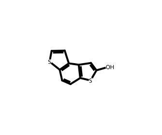 Oc1cc2c(ccc3sccc32)s1